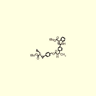 C[C@H](NC(=O)OCc1ccc(C2C[C@@H]2N(CC2CC2)C(=O)OC(C)(C)C)cc1)c1ccc(C(=O)Nc2ccccc2NC(=O)OC(C)(C)C)cc1